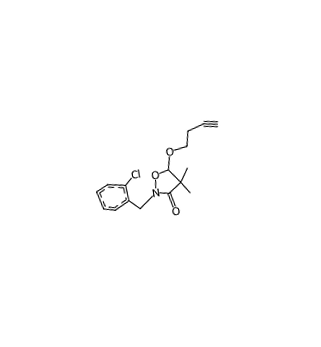 C#CCCOC1ON(Cc2ccccc2Cl)C(=O)C1(C)C